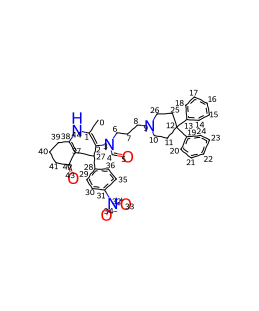 CC1=C(N(C=O)CCCN2CCC(c3ccccc3)(c3ccccc3)CC2)C(c2ccc([N+](=O)[O-])cc2)C2=C(CCCC2=O)N1